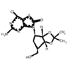 CC1(C)O[C@@H]2[C@@H](CO)C[C@@H](n3c(=O)sc4c(Cl)nc(N)nc43)[C@@H]2O1